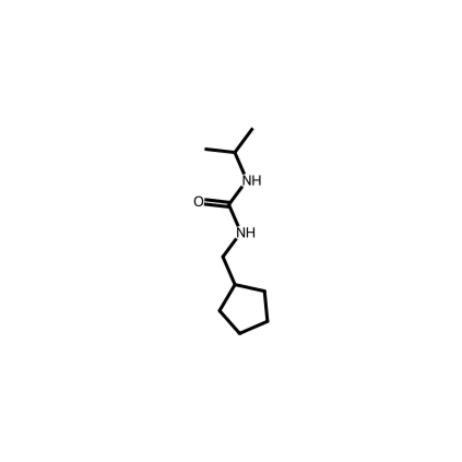 CC(C)NC(=O)NCC1CCCC1